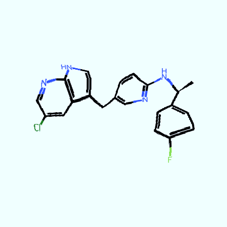 C[C@H](Nc1ccc(Cc2c[nH]c3ncc(Cl)cc23)cn1)c1ccc(F)cc1